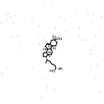 CC[C@]1(O)CC[C@H]2C(=CC[C@@H]3[C@@H]2CC[C@]2(C)[C@@H](C(C)CCC[C@@H](O)C(C)C)CC[C@@H]32)C1